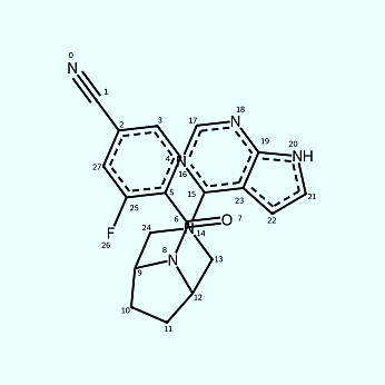 N#Cc1ccc(C(=O)N2C3CCC2CN(c2ncnc4[nH]ccc24)C3)c(F)c1